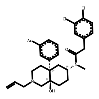 C=CCN1CC[C@@]2(c3cccc(C(C)=O)c3)C[C@H](N(C)C(=O)Cc3ccc(Cl)c(Cl)c3)CC[C@]2(O)C1